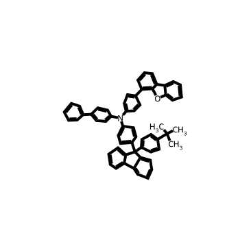 CC(C)(C)c1ccc(C2(c3ccc(N(c4ccc(-c5ccccc5)cc4)c4ccc(-c5cccc6c5oc5ccccc56)cc4)cc3)c3ccccc3-c3ccccc32)cc1